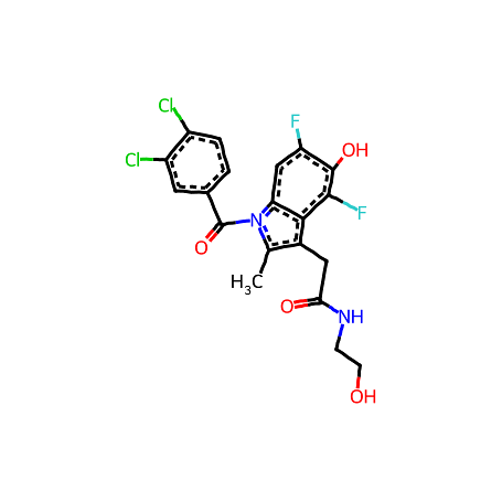 Cc1c(CC(=O)NCCO)c2c(F)c(O)c(F)cc2n1C(=O)c1ccc(Cl)c(Cl)c1